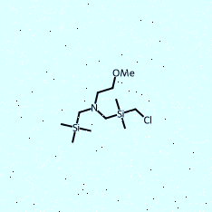 COCCN(C[Si](C)(C)C)C[Si](C)(C)CCl